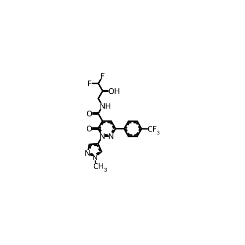 Cn1cc(-n2nc(-c3ccc(C(F)(F)F)cc3)cc(C(=O)NCC(O)C(F)F)c2=O)cn1